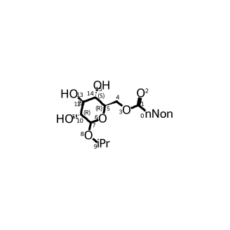 CCCCCCCCCC(=O)OC[C@H]1OC(OC(C)C)[C@H](O)[C@@H](O)[C@@H]1O